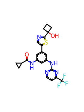 O=C(Nc1cc(Nc2nccc(C(F)(F)F)n2)cc(-c2cnc(C3(O)CCC3)s2)c1)C1CC1